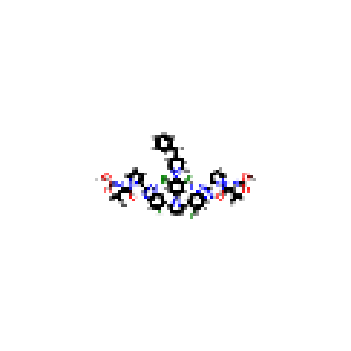 COC(=O)N[C@H](C(=O)N1CCC[C@H]1c1nc2cc(F)c([C@H]3CC[C@H](c4cc5[nH]c([C@@H]6CCCN6C(=O)[C@@H](NC(=O)OC)C(C)C)nc5cc4F)N3c3cc(F)c(N4CCC(Cc5ccccc5)CC4)c(F)c3)cc2[nH]1)C(C)C